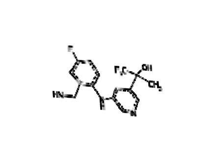 CC(O)(c1cncc(Nc2ccc(F)cc2C=N)c1)C(F)(F)F